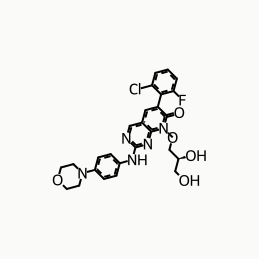 O=c1c(-c2c(F)cccc2Cl)cc2cnc(Nc3ccc(N4CCOCC4)cc3)nc2n1OC[C@@H](O)CO